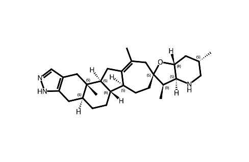 CC1=C2C[C@H]3[C@@H](CC[C@H]4Cc5[nH]ncc5C[C@@]43C)[C@@H]2CC[C@@]2(C1)O[C@@H]1C[C@H](C)CN[C@H]1[C@H]2C